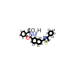 O=C(N[C@@H](C(=O)O)C1CCCCC1)c1ccc2ccc(-c3nc(-c4ccccc4)cs3)cc2c1